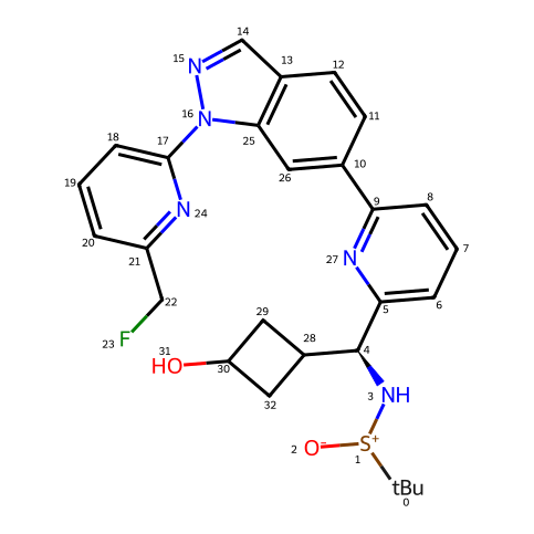 CC(C)(C)[S+]([O-])N[C@H](c1cccc(-c2ccc3cnn(-c4cccc(CF)n4)c3c2)n1)C1CC(O)C1